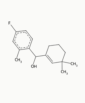 Cc1cc(F)ccc1C(O)C1=CC(C)(C)CCC1